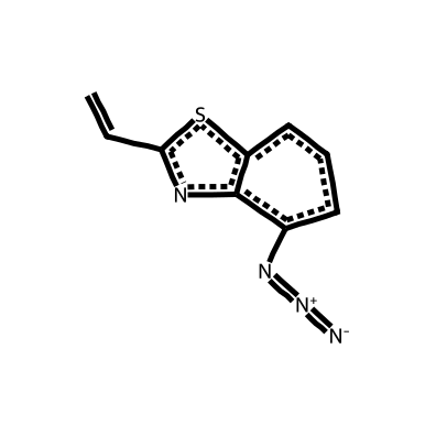 C=Cc1nc2c(N=[N+]=[N-])cccc2s1